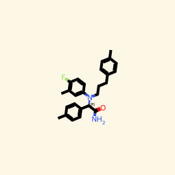 Cc1ccc(CCCN(c2ccc(F)c(C)c2)[C@@H](C(N)=O)c2ccc(C)cc2)cc1